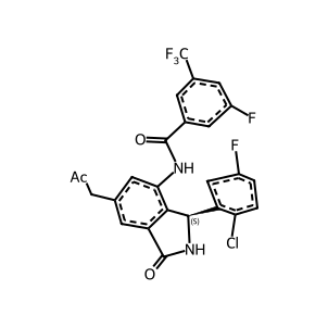 CC(=O)Cc1cc(NC(=O)c2cc(F)cc(C(F)(F)F)c2)c2c(c1)C(=O)N[C@@H]2c1cc(F)ccc1Cl